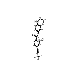 CC(C)(C)C#Cc1ccc(C(=O)Nc2ccc3c(c2)OCCN3)c(Cl)c1